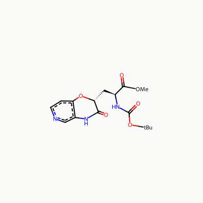 COC(=O)[C@H](C[C@H]1Oc2ccncc2NC1=O)NC(=O)OC(C)(C)C